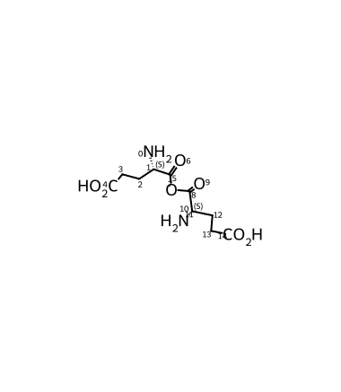 N[C@@H](CCC(=O)O)C(=O)OC(=O)[C@@H](N)CCC(=O)O